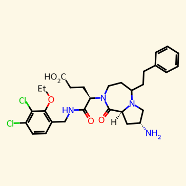 CCOc1c(CNC(=O)[C@@H](CCC(=O)O)N2CCC(CCc3ccccc3)N3C[C@H](N)C[C@H]3C2=O)ccc(Cl)c1Cl